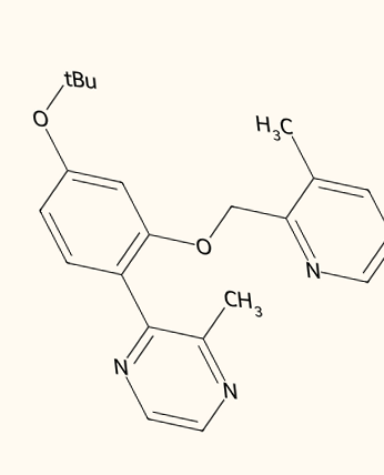 Cc1cccnc1COc1cc(OC(C)(C)C)ccc1-c1nccnc1C